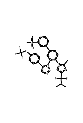 Cc1nc(C(F)(F)C(C)C)cn1-c1ccc(-c2cccc(S(C)(=O)=O)c2)cc1-n1nncc1-c1ccc(OC(F)(F)F)cc1